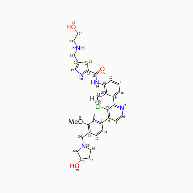 COc1nc(-c2ccnc(-c3cccc(NC(=O)c4ncc(CNCCO)s4)c3C)c2Cl)ccc1CN1CCC(O)C1